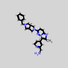 Cc1nc2ccc(N3CC4=CN(Cc5ccccc5)CC4C3)nn2c1-c1ccnc(CN)c1